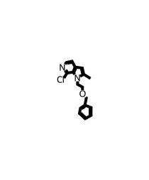 Cc1cc2ccnc(Cl)c2n1CCOCc1ccccc1